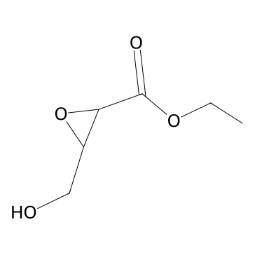 CCOC(=O)C1OC1CO